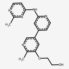 Cc1nccc(Nc2cc(-c3cnc(C)c(OCCO)c3)ccn2)n1